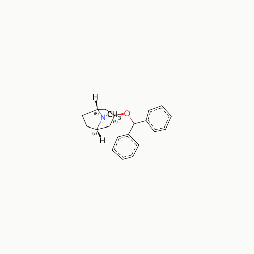 CN1[C@@H]2CC[C@H]1C[C@H](OC(c1ccccc1)c1ccccc1)C2